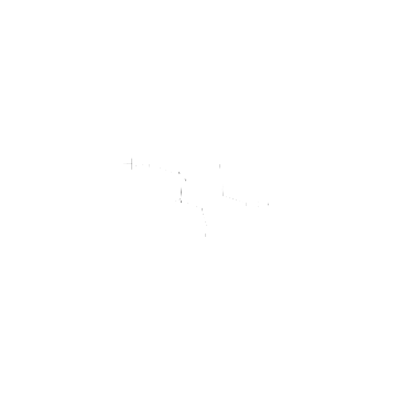 CCCCCCNC(=O)C(C)=C(C)C(=O)O